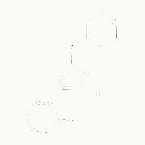 Cl.O=C(c1ncc(-c2ncccc2F)s1)C1CCNCC1